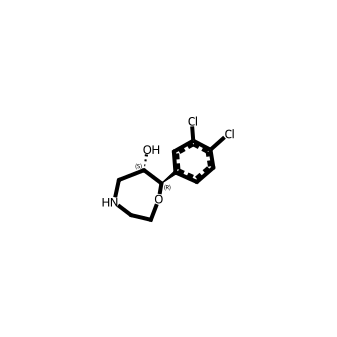 O[C@H]1CNCCO[C@@H]1c1ccc(Cl)c(Cl)c1